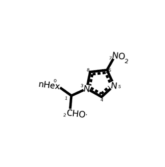 CCCCCCC([C]=O)n1cnc([N+](=O)[O-])c1